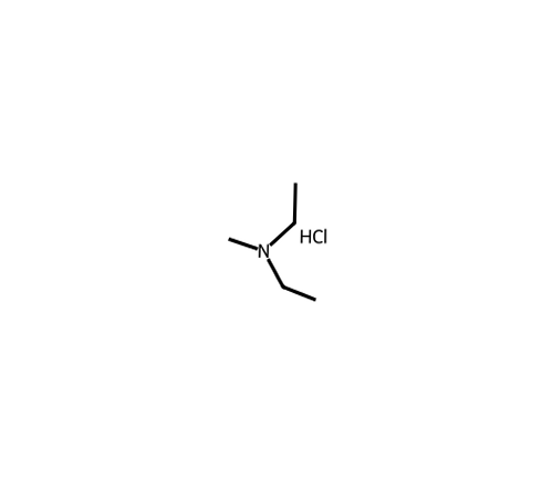 CCN(C)CC.Cl